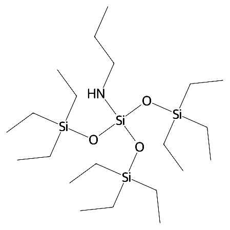 CCCN[Si](O[Si](CC)(CC)CC)(O[Si](CC)(CC)CC)O[Si](CC)(CC)CC